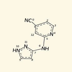 N#Cc1ccnc(Nc2cc[nH]n2)c1